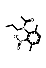 CCCN(C(C)=O)c1c(C)ccc(C)c1[N+](=O)[O-]